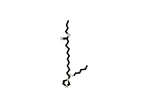 CCCCCC[C@@H](CCCCCCCCCCC(=O)OCCCC)n1ccnc1